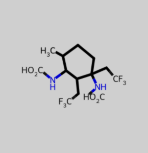 CC1CCC(CC(F)(F)F)(NC(=O)O)C(CC(F)(F)F)C1NC(=O)O